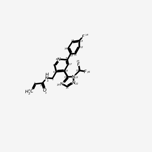 C=CC(=O)NCc1cnc(-c2ccc(F)cc2)cc1-c1ncnn1C(F)F